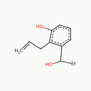 C=CCc1c(O)cccc1C(O)CC